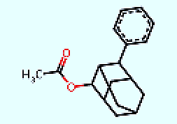 CC(=O)OC1C2CC3CC(C2)C(c2ccccc2)C1C3